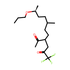 CCCO[C@@H](C)CCC(C)CCC(CC(=O)C(F)(F)F)C(C)=O